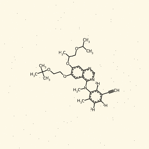 [2H]c1c([2H])c(C#C)c([2H])c(N(C)c2ncnc3cc(OC(C)COC(C)C)c(OCCOC(C)(C)C)cc23)c1C